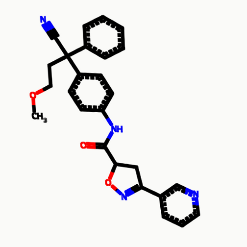 COCCC(C#N)(c1ccccc1)c1ccc(NC(=O)C2CC(c3cccnc3)=NO2)cc1